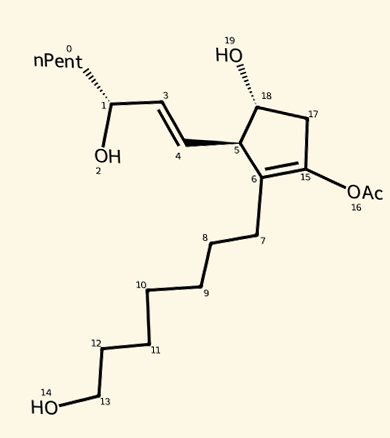 CCCCC[C@@H](O)/C=C/[C@@H]1C(CCCCCCCO)=C(OC(C)=O)C[C@H]1O